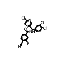 N#Cc1ccc(C(=O)NC(c2ccc(Cl)c(Cl)c2)c2cnc(Cl)cn2)cc1F